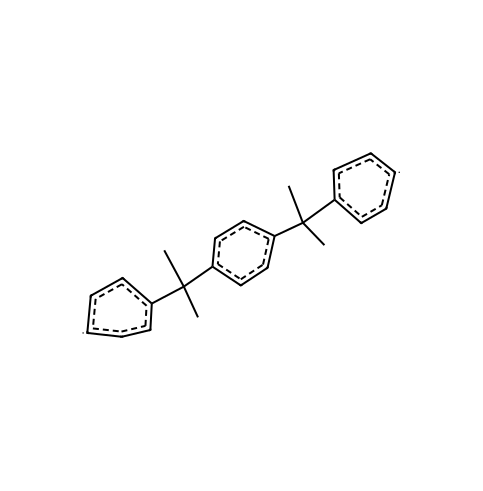 CC(C)(c1cc[c]cc1)c1ccc(C(C)(C)c2cc[c]cc2)cc1